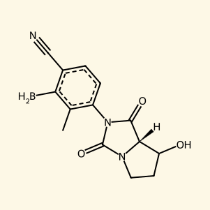 Bc1c(C#N)ccc(N2C(=O)[C@@H]3C(O)CCN3C2=O)c1C